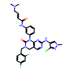 CN(C)C/C=C/C(=O)Nc1cccc(N2C(=O)N(Cc3ccc(F)cc3F)Cc3cnc(Nc4cn(C)nc4Cl)nc32)c1